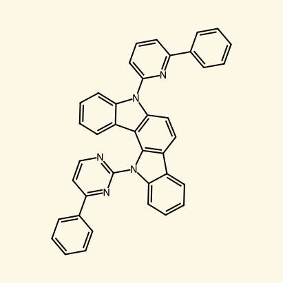 c1ccc(-c2cccc(-n3c4ccccc4c4c3ccc3c5ccccc5n(-c5nccc(-c6ccccc6)n5)c34)n2)cc1